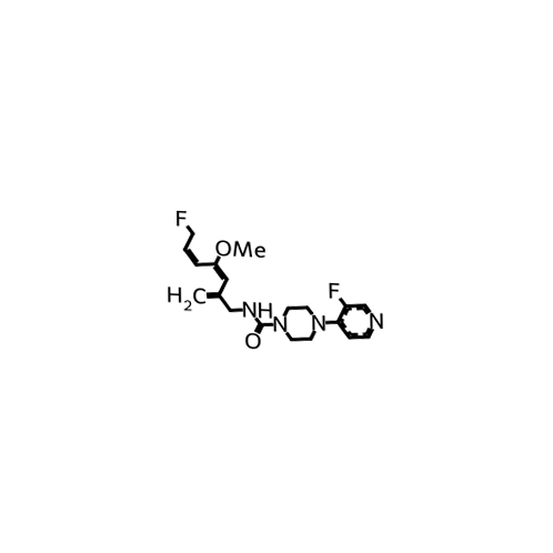 C=C(/C=C(\C=C/CF)OC)CNC(=O)N1CCN(c2ccncc2F)CC1